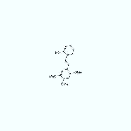 COc1cc(OC)c(OC)cc1/C=C/c1ccccc1C#N